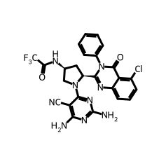 N#Cc1c(N)nc(N)nc1N1C[C@@H](NC(=O)C(F)(F)F)C[C@H]1c1nc2cccc(Cl)c2c(=O)n1-c1ccccc1